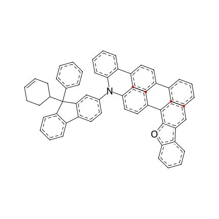 C1=CCC(C2(c3ccccc3)c3ccccc3-c3ccc(N(c4ccc(-c5cccc6c5oc5ccccc56)cc4)c4ccccc4-c4ccc(-c5ccccc5)cc4)cc32)CC1